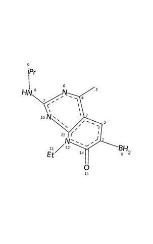 Bc1cc2c(C)nc(NC(C)C)nc2n(CC)c1=O